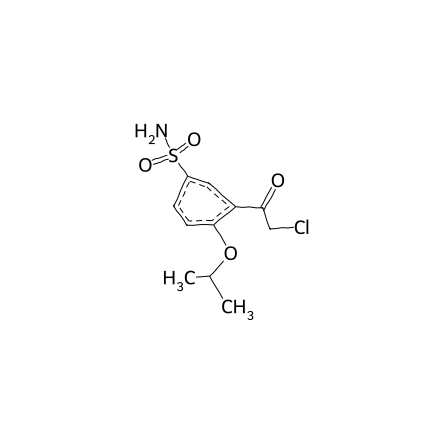 CC(C)Oc1ccc(S(N)(=O)=O)cc1C(=O)CCl